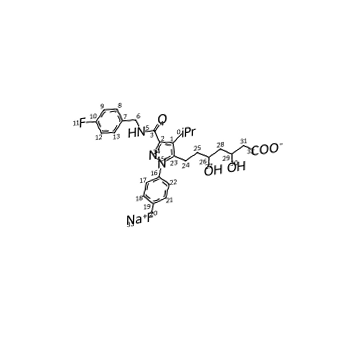 CC(C)c1c(C(=O)NCc2ccc(F)cc2)nn(-c2ccc(F)cc2)c1CCC(O)CC(O)CC(=O)[O-].[Na+]